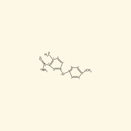 Cc1ccc(Oc2ccc(C)c(C(N)=O)c2)cc1